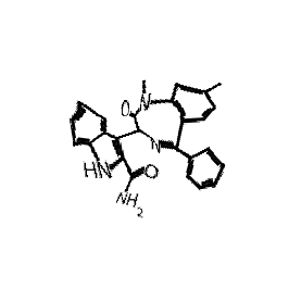 Cc1ccc2c(c1)N(C)C(=O)C(c1c(C(N)=O)[nH]c3ccccc13)N=C2c1ccccc1